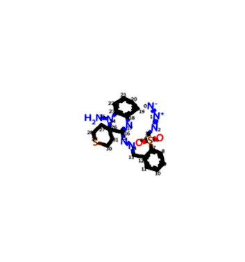 [N-]=[N+]=NCS(=O)(=O)c1ccccc1CN=NC1=Nc2ccccc2N(N)C12CCSCC2